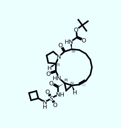 CC(C)(C)OC(=O)N[C@H]1CCCCC/C=C\[C@@H]2C[C@@]2(C(=O)NS(=O)(=O)NC2CCC2)NC(=O)[C@@H]2CCCN2C1=O